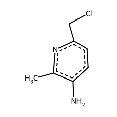 Cc1nc(CCl)ccc1N